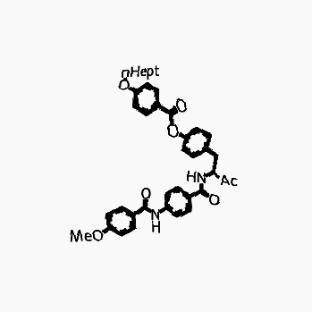 CCCCCCCOc1ccc(C(=O)Oc2ccc(C[C@H](NC(=O)c3ccc(NC(=O)c4ccc(OC)cc4)cc3)C(C)=O)cc2)cc1